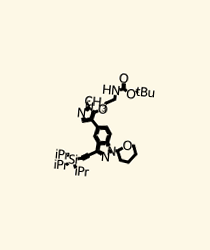 CC(C)[Si](C#Cc1nn(C2CCCCO2)c2ccc(-c3cnn(C)c3OCCNC(=O)OC(C)(C)C)cc12)(C(C)C)C(C)C